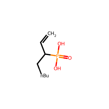 C=CC(CCCCC)P(=O)(O)O